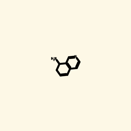 NC1CC=Cc2ccncc21